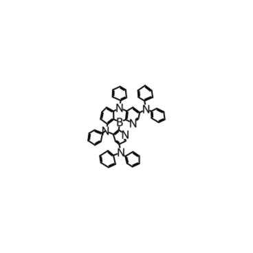 c1ccc(N(c2ccccc2)c2cnc3c(c2)N(c2ccccc2)c2cccc4c2B3c2ncc(N(c3ccccc3)c3ccccc3)cc2N4c2ccccc2)cc1